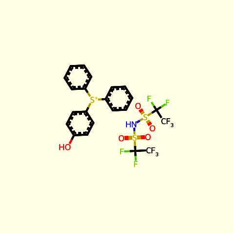 O=S(=O)(NS(=O)(=O)C(F)(F)C(F)(F)F)C(F)(F)C(F)(F)F.Oc1ccc([S+](c2ccccc2)c2ccccc2)cc1